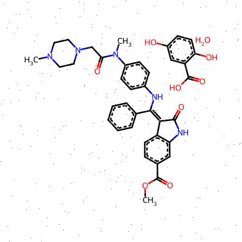 COC(=O)c1ccc2c(c1)NC(=O)/C2=C(\Nc1ccc(N(C)C(=O)CN2CCN(C)CC2)cc1)c1ccccc1.O.O=C(O)c1cc(O)ccc1O